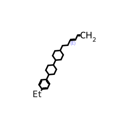 C=C/C=C/CCC1CCC(C2CCC(c3ccc(CC)cc3)CC2)CC1